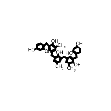 Cc1cc(Cc2cc(C)c(O)c(Cc3ccc(O)cc3O)c2)c(O)c(Cc2cc(C)c(O)c(Cc3ccc(O)cc3O)c2)c1